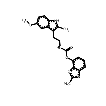 Cc1nc2cccc(OC(=O)NCCc3c(C)[nH]c4ccc(OC(F)(F)F)cc34)c2o1